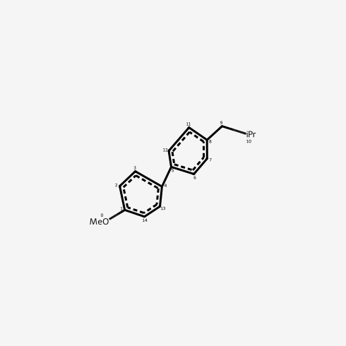 COc1ccc(-c2ccc(CC(C)C)cc2)cc1